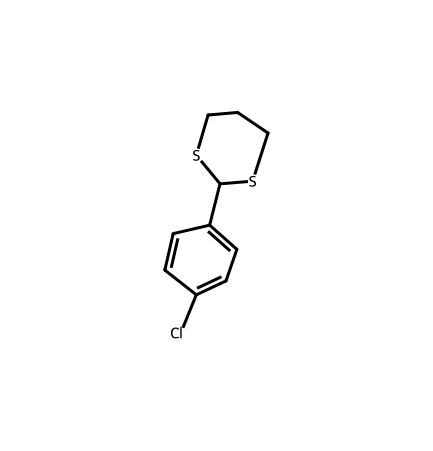 Clc1ccc(C2SCCCS2)cc1